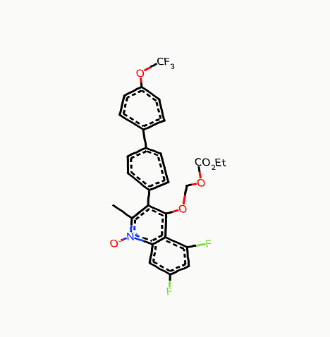 CCOC(=O)OCOc1c(-c2ccc(-c3ccc(OC(F)(F)F)cc3)cc2)c(C)[n+]([O-])c2cc(F)cc(F)c12